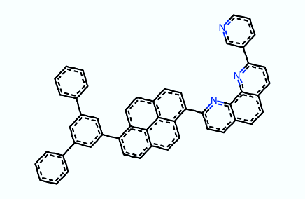 c1ccc(-c2cc(-c3ccccc3)cc(-c3ccc4ccc5c(-c6ccc7ccc8ccc(-c9cccnc9)nc8c7n6)ccc6ccc3c4c65)c2)cc1